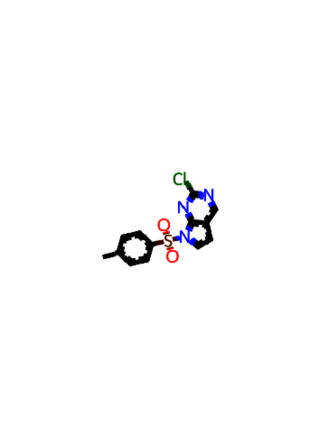 Cc1ccc(S(=O)(=O)n2ccc3cnc(Cl)nc32)cc1